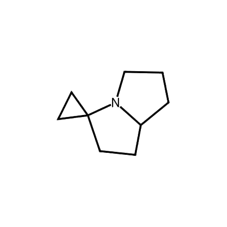 C1CC2CCC3(CC3)N2C1